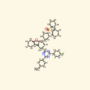 N#Cc1ccc(-c2nc(-c3ccc(F)cc3)nc(-c3cc(-c4ccc(P(=O)(c5ccccc5)c5ccccc5)cc4)c4oc5ccccc5c4c3)n2)cc1